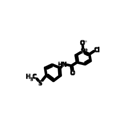 CSc1ccc(NC(=O)c2ccc(Cl)[n+]([O-])c2)cc1